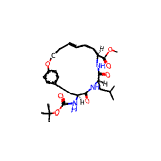 COC(=O)[C@@H]1CC/C=C/CCOc2ccc(cc2)C[C@H](NC(=O)OC(C)(C)C)C(=O)N[C@@H](CC(C)C)C(=O)N1